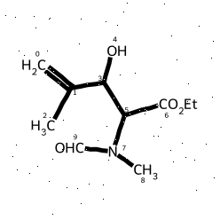 C=C(C)C(O)C(C(=O)OCC)N(C)C=O